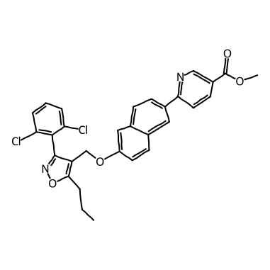 CCCc1onc(-c2c(Cl)cccc2Cl)c1COc1ccc2cc(-c3ccc(C(=O)OC)cn3)ccc2c1